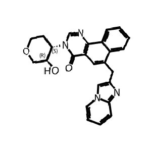 O=c1c2cc(Cc3cn4ccccc4n3)c3ccccc3c2ncn1[C@H]1CCOC[C@@H]1O